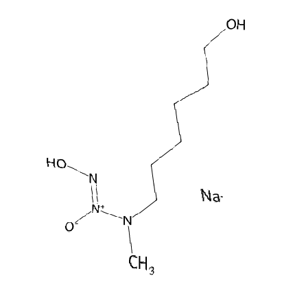 CN(CCCCCCO)[N+]([O-])=NO.[Na]